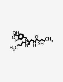 CCCCc1ncc(CNC(=O)C(S)CCC)n1Cc1ccc(C(=O)O)c(F)c1